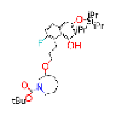 CC(C)[Si](Oc1cc(O)c2c(CCCOC3CCCCN(C(=O)OC(C)(C)C)C3)c(F)ccc2c1)(C(C)C)C(C)C